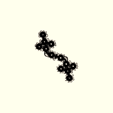 CC(C)(c1ccc(Oc2ccc(-[n+]3c(-c4ccccc4)cc(-c4ccccc4)cc3-c3ccccc3)cc2)cc1)c1ccc(Oc2ccc(-[n+]3c(-c4ccccc4)cc(-c4ccccc4)cc3-c3ccccc3)cc2)cc1